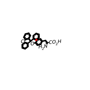 N[C@@H](Cc1ccc(OC(c2ccccc2)(c2ccccc2)c2ccccc2Cl)cc1)C(=O)O